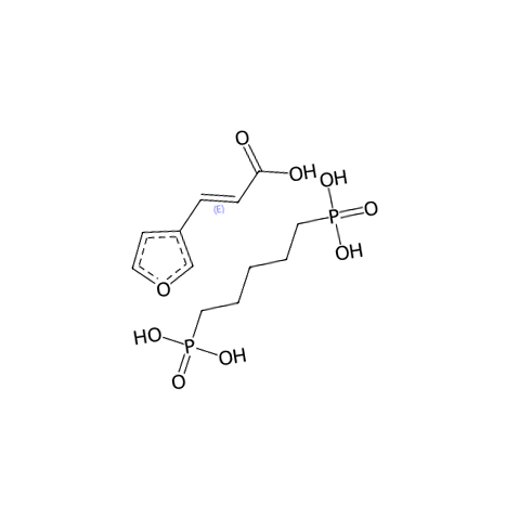 O=C(O)/C=C/c1ccoc1.O=P(O)(O)CCCCCP(=O)(O)O